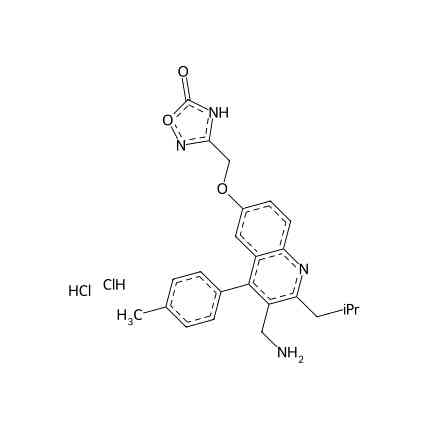 Cc1ccc(-c2c(CN)c(CC(C)C)nc3ccc(OCc4noc(=O)[nH]4)cc23)cc1.Cl.Cl